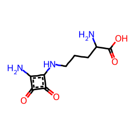 Nc1c(NCCCC(N)C(=O)O)c(=O)c1=O